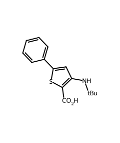 CC(C)(C)Nc1cc(-c2ccccc2)sc1C(=O)O